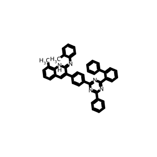 Cc1ccccc1/N=c1\[nH]c2c(C)cccc2cc1-c1ccc(-c2nc(-c3ccccc3)nc(-c3ccccc3-c3ccccc3)n2)cc1